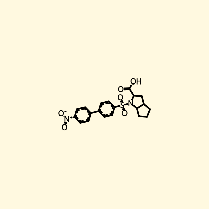 O=C(O)C1CC2CCCC2N1S(=O)(=O)c1ccc(-c2ccc([N+](=O)[O-])cc2)cc1